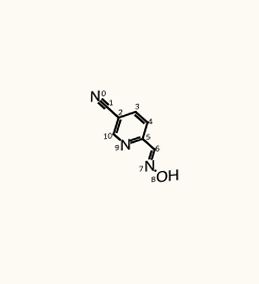 N#Cc1ccc(C=NO)nc1